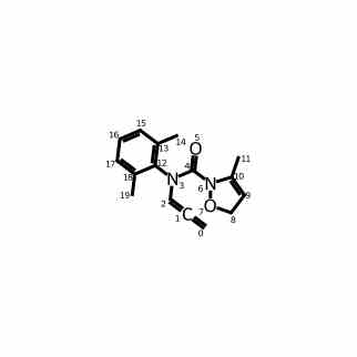 C=C=CN(C(=O)N1OCC=C1C)c1c(C)cccc1C